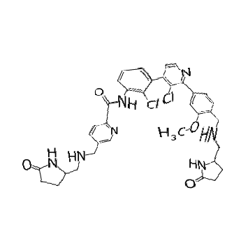 COc1cc(-c2nccc(-c3cccc(NC(=O)c4ccc(CNCC5CCC(=O)N5)cn4)c3Cl)c2Cl)ccc1CNCC1CCC(=O)N1